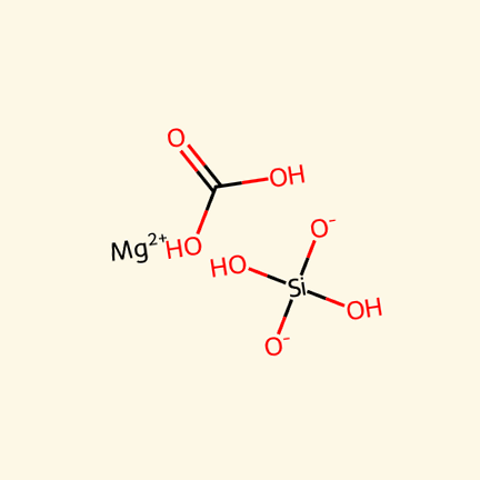 O=C(O)O.[Mg+2].[O-][Si]([O-])(O)O